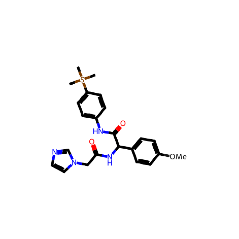 COc1ccc(C(NC(=O)Cn2ccnc2)C(=O)Nc2ccc(S(C)(C)C)cc2)cc1